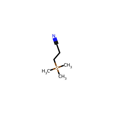 CS(C)(C)CCC#N